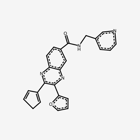 O=C(NCc1cccnc1)c1ccc2nc(C3=CCC=C3)c(-c3ccco3)nc2c1